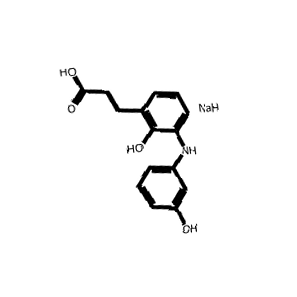 O=C(O)CCc1cccc(Nc2cccc(O)c2)c1O.[NaH]